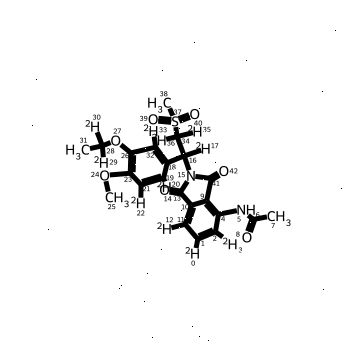 [2H]c1c([2H])c(NC(C)=O)c2c(c1[2H])C(=O)N(C([2H])(c1c([2H])c([2H])c(OC)c(OC([2H])([2H])C)c1[2H])C([2H])([2H])S(C)(=O)=O)C2=O